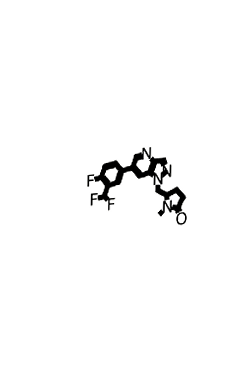 CN1C(=O)CCC1Cn1ncc2ncc(-c3ccc(F)c(C(F)F)c3)cc21